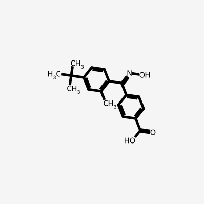 Cc1cc(C(C)(C)C)ccc1/C(=N/O)c1ccc(C(=O)O)cc1